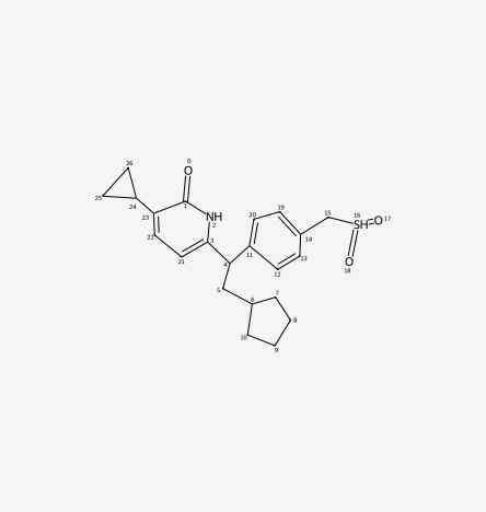 O=c1[nH]c(C(CC2CCCC2)c2ccc(C[SH](=O)=O)cc2)ccc1C1CC1